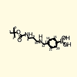 CC(C)(C)OC(=O)NCCCNCc1ccc(B(O)O)cc1